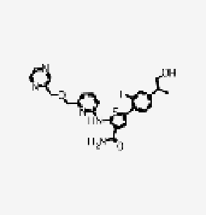 CC(CO)c1ccc(-c2cc(C(N)=O)c(Nc3cccc(COCc4cnccn4)n3)s2)c(F)c1